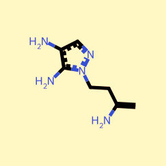 C=C(N)CCn1ncc(N)c1N